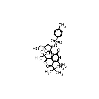 Cc1ccc(S(=O)(=O)O[C@H]2C[C@@H](CO)O[C@H]2n2c(C(=O)C(C)(C)C)c(C(=O)C(C)(C)C)c(N)nc2=O)cc1